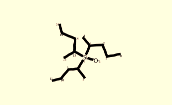 CCCC(C)[Si]([O])(C(C)CCC)C(C)CCC